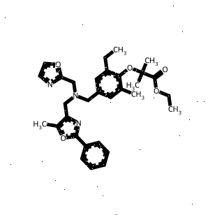 CCOC(=O)C(C)(C)Oc1c(C)cc(CN(Cc2ncco2)Cc2nc(-c3ccccc3)oc2C)cc1CC